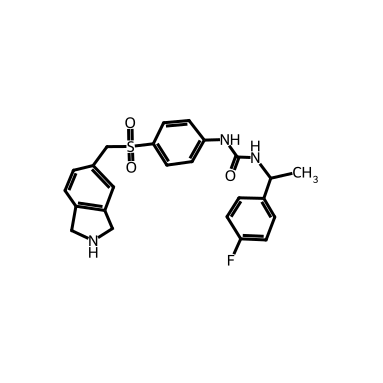 CC(NC(=O)Nc1ccc(S(=O)(=O)Cc2ccc3c(c2)CNC3)cc1)c1ccc(F)cc1